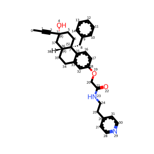 CC#C[C@@]1(O)CC[C@@]2(Cc3ccccc3)c3ccc(OCC(=O)NCCc4ccncc4)cc3CC[C@@H]2C1